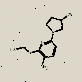 CCOc1nc(N2CCC(O)C2)ccc1N